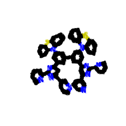 c1ccc(-c2nc(-c3cccnc3)cc(-c3cc(-c4cc(-c5cc(-c6cccnc6)nc(-c6ccccn6)n5)cc(N5c6ccccc6Sc6ccccc65)c4)cc(N4c5ccccc5Sc5ccccc54)c3)n2)nc1